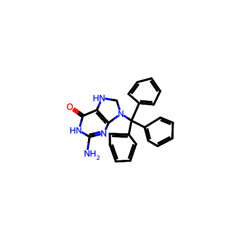 Nc1nc2c(c(=O)[nH]1)NCN2C(c1ccccc1)(c1ccccc1)c1ccccc1